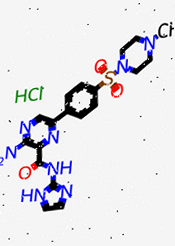 CN1CCN(S(=O)(=O)c2ccc(-c3cnc(N)c(C(=O)Nc4ncc[nH]4)n3)cc2)CC1.Cl